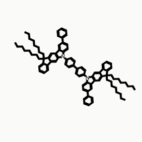 CCCCCCCCC1(CCCCCCCC)c2ccccc2-c2cc3c(cc21)c1cc(-c2ccccc2)ccc1n3-c1ccc(-c2ccc(-n3c4ccc(-c5ccccc5)cc4c4cc5c(cc43)-c3ccccc3C5(CCCCCCCC)CCCCCCCC)cc2)cc1